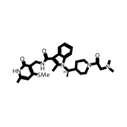 CSc1cc(C)[nH]c(=O)c1CNC(=O)c1c(C)n([C@H](C)C2CCN(C(=O)CN(C)C)CC2)c2ccccc12